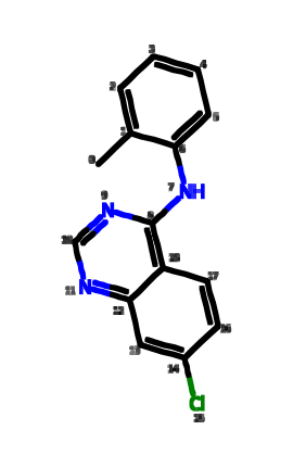 Cc1ccccc1Nc1ncnc2cc(Cl)ccc12